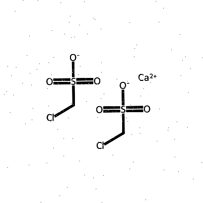 O=S(=O)([O-])CCl.O=S(=O)([O-])CCl.[Ca+2]